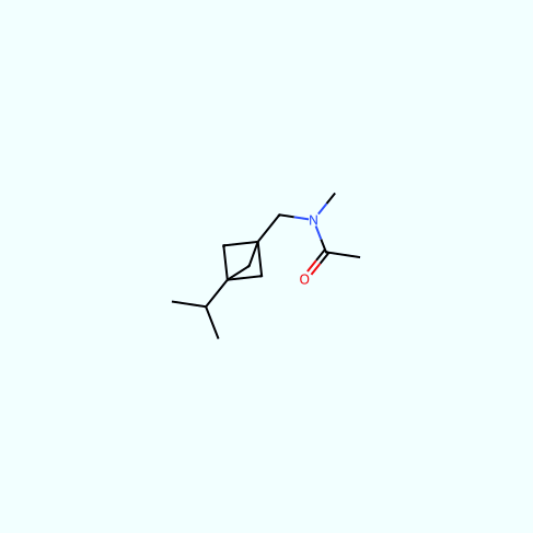 CC(=O)N(C)CC12CC(C(C)C)(C1)C2